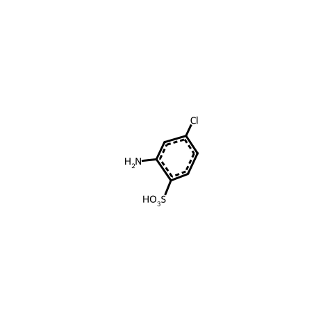 Nc1cc(Cl)ccc1S(=O)(=O)O